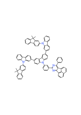 CC1(C)c2ccccc2-c2ccc(-n3c4ccccc4c4ccc(-c5ccc6c(c5)c5cc(-c7ccc8c9ccccc9n(-c9ccc%10c(c9)C(C)(C)c9ccccc9-%10)c8c7)ccc5n6-c5cccc(-c6nc(-c7ccccc7)c7c(n6)-c6cccc8cccc-7c68)c5)cc43)cc21